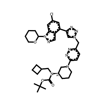 CC(C)(C)OC(=O)N(CC1CCC1)[C@@H]1CCCN(c2ccc(Cn3cc(-c4cc(Cl)cc5c4cnn5C4CCCCO4)nn3)nn2)C1